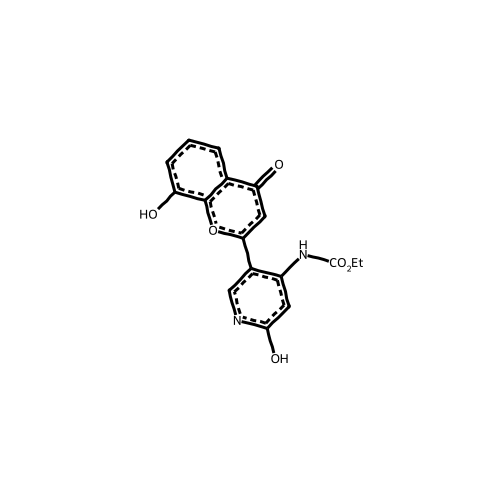 CCOC(=O)Nc1cc(O)ncc1-c1cc(=O)c2cccc(O)c2o1